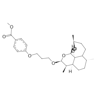 COC(=O)c1ccc(OCCCO[C@H]2O[C@@H]3O[C@@]4(C)CCC5[C@H](C)CC[C@@H]([C@H]2C)[C@]53OO4)cc1